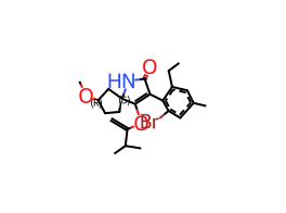 C=C(OC1=C(c2c(Br)cc(C)cc2CC)C(=O)N[C@]12CC[C@@H](OC)C2)C(C)C